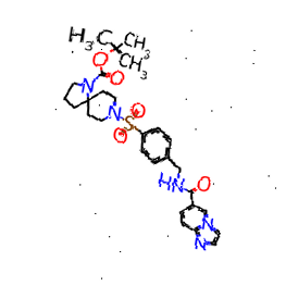 CC(C)(C)OC(=O)N1CCCC12CCN(S(=O)(=O)c1ccc(CNC(=O)c3ccc4nccn4c3)cc1)CC2